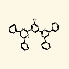 Brc1cc(-c2nc(-c3ccccc3)cc(-c3ccccc3)n2)cc(-c2nc(-c3ccccc3)cc(-c3ccccc3)n2)c1